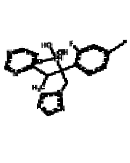 CC(c1ccncn1)C(Cn1cncn1)(c1ccc(F)cc1F)[PH](O)(O)O